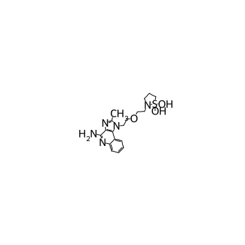 Cc1nc2c(N)nc3ccccc3c2n1CCOCCN1CCCS1(O)O